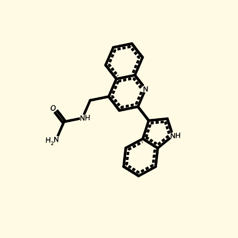 NC(=O)NCc1cc(-c2c[nH]c3ccccc23)nc2ccccc12